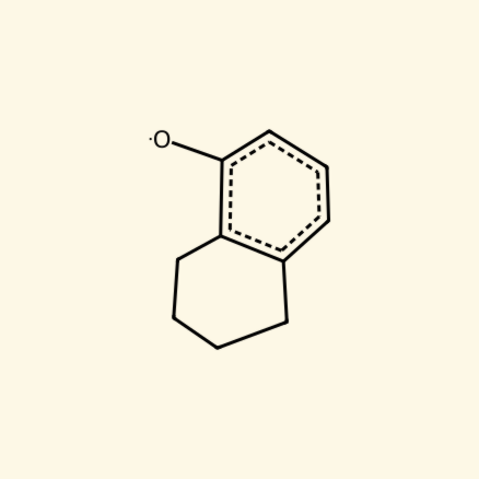 [O]c1cccc2c1CCCC2